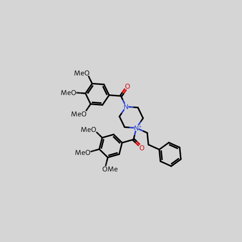 COc1cc(C(=O)N2CC[N+](CCc3ccccc3)(C(=O)c3cc(OC)c(OC)c(OC)c3)CC2)cc(OC)c1OC